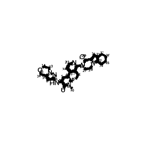 CCc1c(-c2cc(Nc3cc4n(n3)CCOC4)c(=O)n(C)n2)ccnc1N1CCn2c(cc3c2CCCC3)C1=O